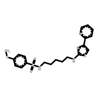 COc1ccc(S(=O)(=O)NCCCCCNc2nc(-c3ccccn3)cs2)cc1